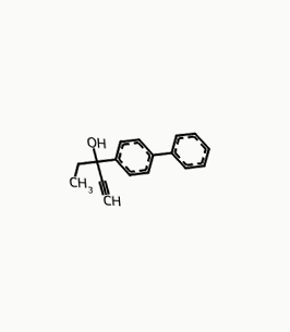 C#CC(O)(CC)c1ccc(-c2ccccc2)cc1